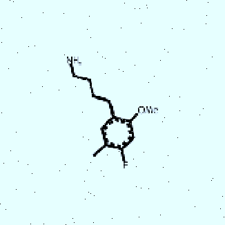 COc1cc(F)c(C)cc1CCCCN